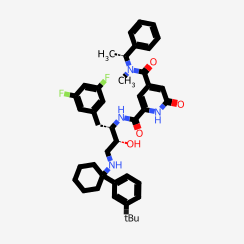 C[C@H](c1ccccc1)N(C)C(=O)c1cc(C(=O)N[C@@H](Cc2cc(F)cc(F)c2)[C@H](O)CNC2(c3cccc(C(C)(C)C)c3)CCCCC2)[nH]c(=O)c1